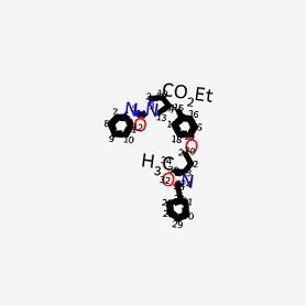 CCOC(=O)[C@H]1CN(c2nc3ccccc3o2)C[C@H]1Cc1ccc(OCCc2nc(-c3ccccc3)oc2C)cc1